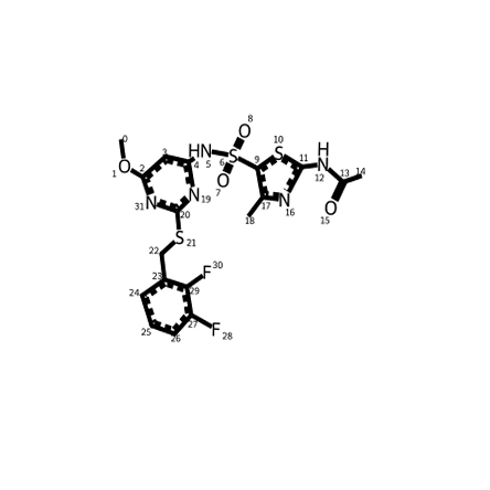 COc1cc(NS(=O)(=O)c2sc(NC(C)=O)nc2C)nc(SCc2cccc(F)c2F)n1